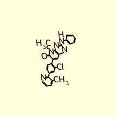 CCn1c(=O)c(-c2ccc(-c3ncccc3C)cc2Cl)cc2cnc(Nc3ccccc3)nc21